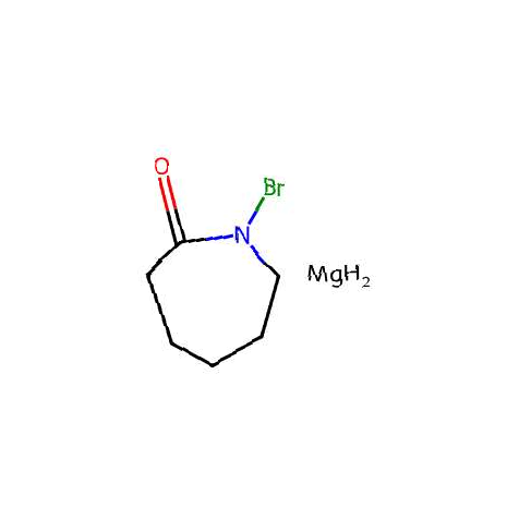 O=C1CCCCCN1Br.[MgH2]